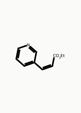 CCOC(=O)/C=C\c1cccnc1